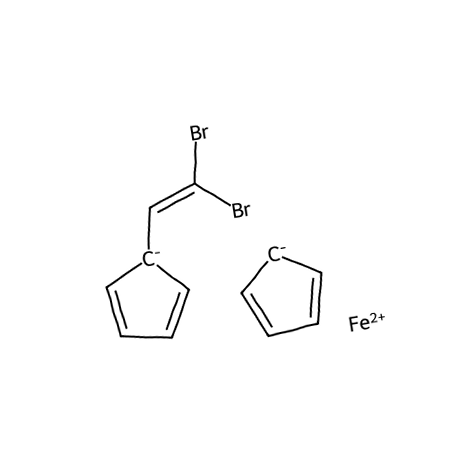 BrC(Br)=C[c-]1cccc1.[Fe+2].c1cc[cH-]c1